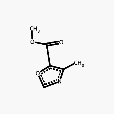 COC(=O)c1ocnc1C